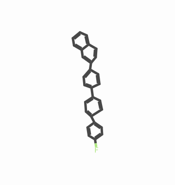 Fc1ccc(-c2ccc(-c3ccc(-c4ccc5ccccc5c4)cc3)cc2)cc1